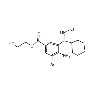 CCNC(c1cc(C(=O)OCCO)cc(Br)c1N)C1CCCCC1